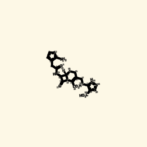 Nc1sccc1CC(=O)NC1C(=O)N2C(C(=O)O)=C(CSc3[nH]nnc3C(=O)O)CS[C@@H]12